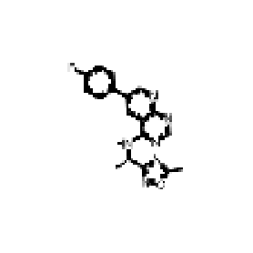 Cc1nc([C@@H](C)Nc2ncnc3ncc(-c4ccc(F)cc4)cc23)no1